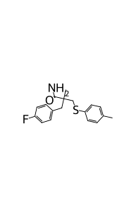 Cc1ccc(SCC(C)(Cc2ccc(F)cc2)C(N)=O)cc1